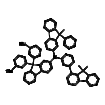 CC(C)(C)c1cccc(C2(c3cccc(C(C)(C)C)c3)c3ccccc3-c3ccc(N(c4cccc(-c5cccc6c5C(C)(C)c5ccccc5-6)c4)c4ccc5c(c4)C(C)(c4ccccc4)c4ccccc4-5)cc32)c1